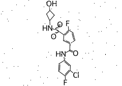 O=C(Nc1ccc(F)c(Cl)c1)c1ccc(F)c(S(=O)(=O)NC2CC(O)C2)c1